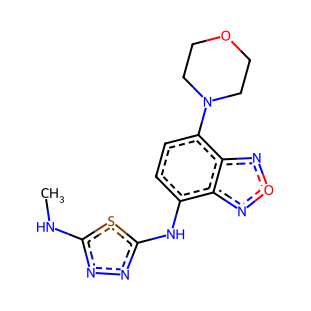 CNc1nnc(Nc2ccc(N3CCOCC3)c3nonc23)s1